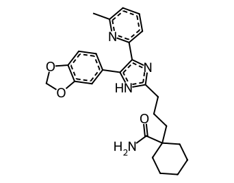 Cc1cccc(-c2nc(CCCC3(C(N)=O)CCCCC3)[nH]c2-c2ccc3c(c2)OCO3)n1